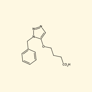 O=C(O)CCCOc1cnnn1Cc1ccccc1